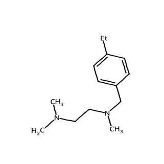 CCc1ccc(CN(C)CCN(C)C)cc1